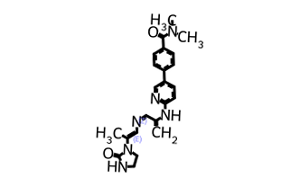 C=C(/C=N\C=C(/C)N1CCNC1=O)Nc1ccc(-c2ccc(C(=O)N(C)C)cc2)cn1